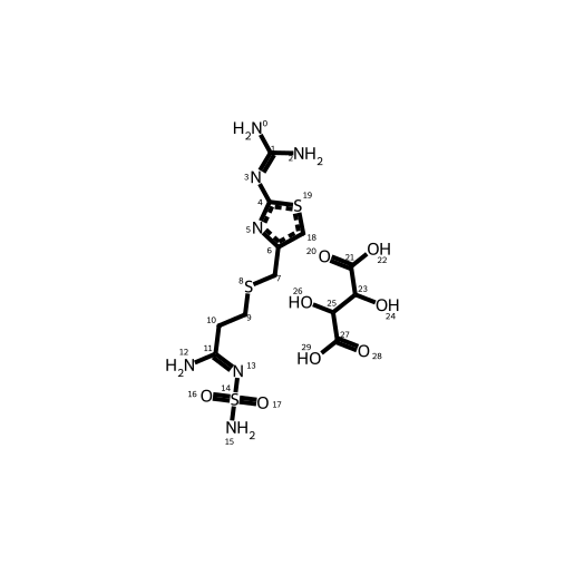 NC(N)=Nc1nc(CSCCC(N)=NS(N)(=O)=O)cs1.O=C(O)C(O)C(O)C(=O)O